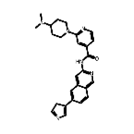 CN(C)C1CCN(c2cc(C(=O)Nc3cc4cc(C5=CN=CC5)ccc4cn3)ccn2)CC1